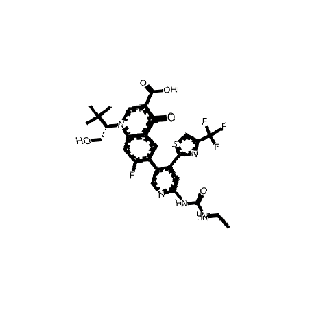 CCNC(=O)Nc1cc(-c2nc(C(F)(F)F)cs2)c(-c2cc3c(=O)c(C(=O)O)cn([C@H](CO)C(C)(C)C)c3cc2F)cn1